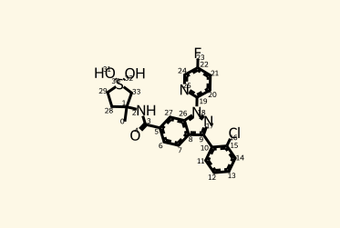 CC1(NC(=O)c2ccc3c(-c4ccccc4Cl)nn(-c4ccc(F)cn4)c3c2)CCS(O)(O)C1